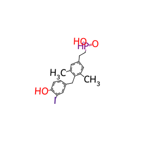 Cc1cc(CC[PH](=O)O)cc(C)c1Cc1ccc(O)c(I)c1